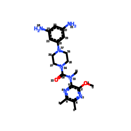 COc1nc(C)c(C)nc1N(C)C(=O)N1CCN(c2cc(N)cc(N)c2)CC1